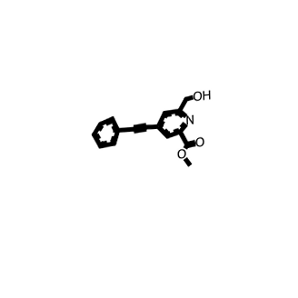 COC(=O)c1cc(C#Cc2ccccc2)cc(CO)n1